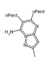 CCCCCc1nc2cc(C)nn2c(N)c1CCCCC